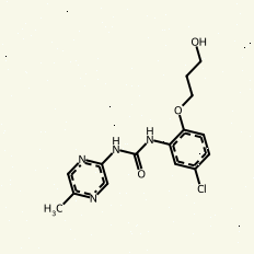 Cc1cnc(NC(=O)Nc2cc(Cl)ccc2OCCCO)cn1